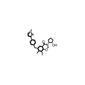 Cc1c(Cc2ccc(-c3ccn(C)n3)cc2)cc2c(c1F)OCN([C@H]1CCC[C@@H]1O)C2=O